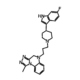 Cc1nnc2n1-c1ccccc1N(CCCN1CCC(c3c[nH]c4cc(F)ccc34)CC1)C2